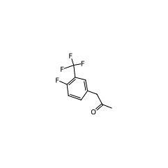 CC(=O)Cc1ccc(F)c(C(F)(F)F)c1